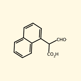 O=[C]C(C(=O)O)c1cccc2ccccc12